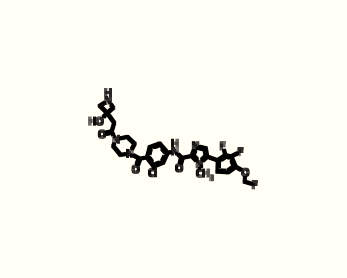 Cn1c(-c2ccc(OCF)c(F)c2F)cnc1C(=O)Nc1ccc(C(=O)N2CCN(C(=O)CC3(O)CNC3)CC2)c(Cl)c1